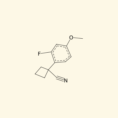 COc1ccc(C2(C#N)CCC2)c(F)c1